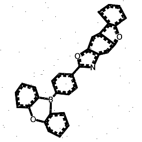 c1ccc2c(c1)Oc1ccccc1B2c1ccc(-c2nc3cc4oc5ccccc5c4cc3o2)cc1